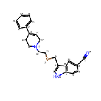 N#Cc1ccc2[nH]cc(CSCCN3CC=C(c4ccccc4)CC3)c2c1